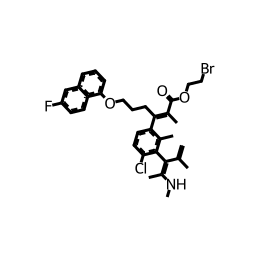 C=C(C)/C(=C(/C)NC)c1c(Cl)ccc(/C(CCCOc2cccc3cc(F)ccc23)=C(\C)C(=O)OCCBr)c1C